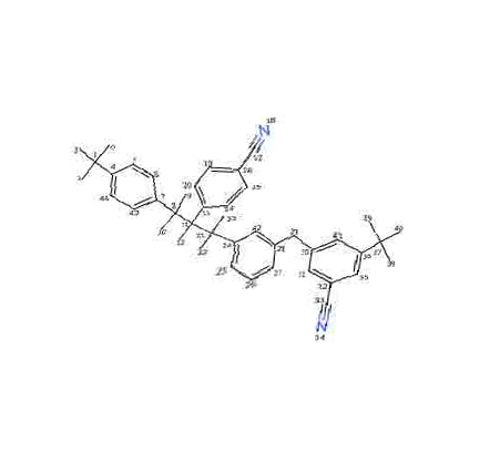 CC(C)(C)c1ccc(C(C)(C)C(C)(c2ccc(C#N)cc2)C(C)(C)c2cccc(Cc3cc(C#N)cc(C(C)(C)C)c3)c2)cc1